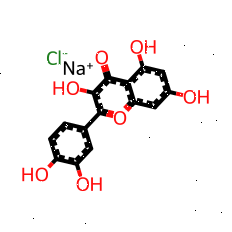 O=c1c(O)c(-c2ccc(O)c(O)c2)oc2cc(O)cc(O)c12.[Cl-].[Na+]